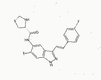 O=C(Nc1cc2c(/C=C/c3ccc(F)cc3)n[nH]c2cc1F)[C@@H]1CSCN1